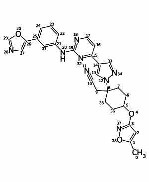 Cc1cc(OC2CCC(CC#N)(n3cc(-c4ccnc(Nc5cccc(-c6cnco6)c5)n4)cn3)CC2)no1